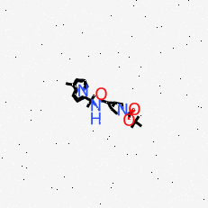 Cc1cccn2c(C(C)(C)NC(=O)C3C4CN(C(=O)OC(C)(C)C)CC43)ccc12